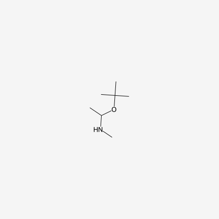 CNC(C)OC(C)(C)C